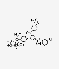 CSc1ccc(C(=O)C2CN(C(O)Oc3cccc(Cl)c3)CC2c2cc(C)c(OC(C)(C)C(=O)O)c(C)c2)cc1